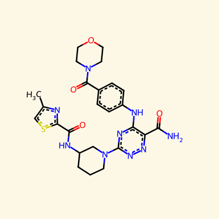 Cc1csc(C(=O)NC2CCCN(c3nnc(C(N)=O)c(Nc4ccc(C(=O)N5CCOCC5)cc4)n3)C2)n1